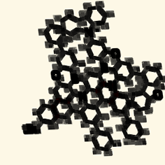 CC(C)(C)c1ccc(-c2cc3c4c(c2)N(c2c(-c5ccccc5)cc(-c5ccccc5)cc2-c2ccccc2)c2cc5c(cc2B4c2ccc(-c4ccccc4)cc2O3)B2c3ccc(-n4c6ccccc6c6ccccc64)cc3Oc3cc(-c4cccc6oc7ccccc7c46)cc(c32)N5c2ccc(-c3ccccc3)cc2)cc1